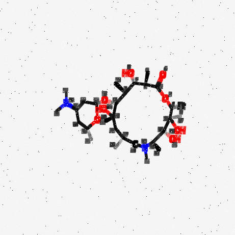 CC[C@H]1OC(=O)[C@H](C)[C@@H](O)[C@H](C)[C@@H](O[C@H]2[CH][C@H](N(C)C)C[C@@H](C)O2)[C@@](C)(O)C[C@@H](C)CN(C)[C@H](C)[C@@H](O)[C@]1(C)O